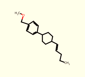 CCCC=CC1CCC(c2ccc(COC)cc2)CC1